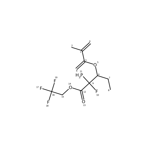 C=C(C)C(=C)OC(CC)C(F)(P)C(=O)OCC(F)(F)F